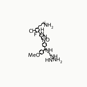 COc1ccc([C@H](NCCCNC(=N)N)c2ccc(-n3cc4cc(-c5cc(CCC[C@H](C)N)cc(Cl)c5F)[nH]c4nc3=O)cc2)cc1